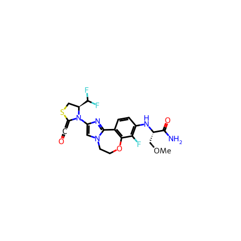 COC[C@H](Nc1ccc2c(c1F)OCCn1cc(N3C(=C=O)SC[C@H]3C(F)F)nc1-2)C(N)=O